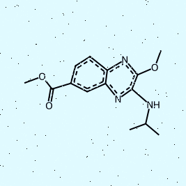 COC(=O)c1ccc2nc(OC)c(NC(C)C)nc2c1